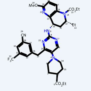 CCOC(=O)C1CCN(c2cnc(N[C@H]3C[C@@H](CC)N(C(=O)OCC)c4ccc(OC)nc43)nc2Cc2cc(C#N)cc(C(F)(F)F)c2)CC1